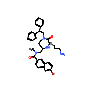 CN(CC1CCN(CC(c2ccccc2)c2ccccc2)C(=O)[C@H](CCCN)N1)C(=O)c1ccc2cc(Br)ccc2c1